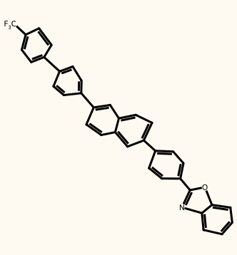 FC(F)(F)c1ccc(-c2ccc(-c3ccc4cc(-c5ccc(-c6nc7ccccc7o6)cc5)ccc4c3)cc2)cc1